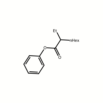 CCCCCCC(CC)C(=O)Oc1ccccc1